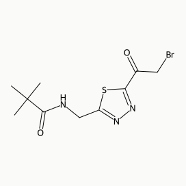 CC(C)(C)C(=O)NCc1nnc(C(=O)CBr)s1